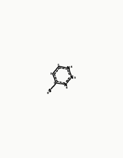 [S]c1ccnnn1